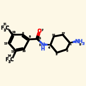 N[C@H]1CC[C@@H](NC(=O)c2cc(C(F)(F)F)cc(C(F)(F)F)c2)CC1